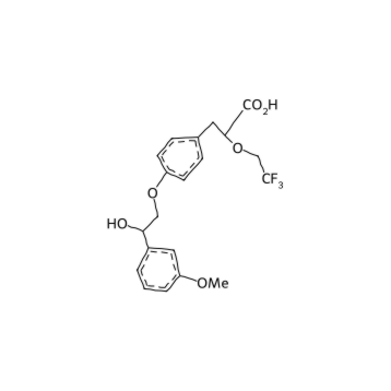 COc1cccc(C(O)COc2ccc(CC(OCC(F)(F)F)C(=O)O)cc2)c1